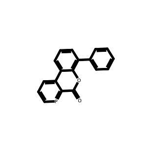 O=c1oc2c(-c3ccccc3)cccc2c2cccpc12